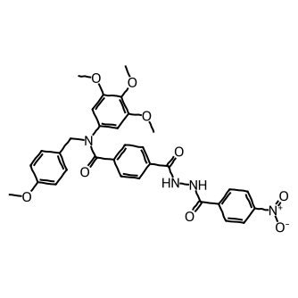 COc1ccc(CN(C(=O)c2ccc(C(=O)NNC(=O)c3ccc([N+](=O)[O-])cc3)cc2)c2cc(OC)c(OC)c(OC)c2)cc1